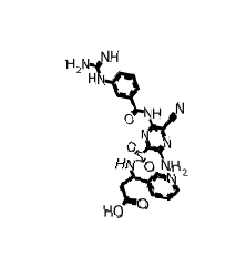 N#Cc1nc(N)c(S(=O)(=O)NC(CC(=O)O)c2cccnc2)nc1NC(=O)c1cccc(NC(=N)N)c1